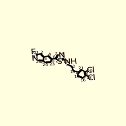 Fc1cc2cc(-c3cnc(NCCCc4ccc(Cl)c(Cl)c4)s3)ccc2cn1